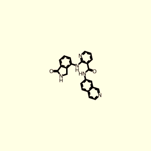 O=C(Nc1ccc2ccncc2c1)c1cccnc1Nc1cccc2c1CNC2=O